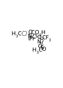 CC(C)N(c1ccc(Oc2ncc(CS(C)(=O)=O)cc2C(F)(F)F)cc1C(=O)O)C(=O)[C@H]1CC[C@H](C)CC1